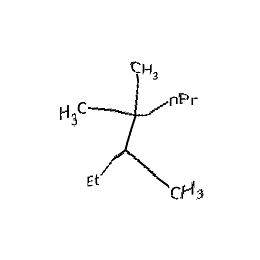 [CH2]CCC(C)(C)C(C)C[CH2]